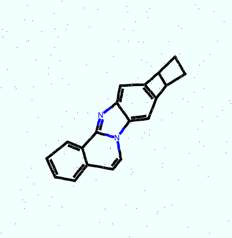 c1ccc2c(c1)ccn1c3cc4c(cc3nc21)C1CCC41